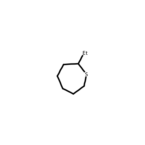 CCC1CCCCCS1